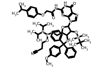 COc1ccc(C(OC2C(COP(OCCC#N)N(C(C)C)C(C)C)OC(n3cnc4c(=O)[nH]c(NC(=O)COc5ccc(C(C)C)cc5)nc43)C2O[Si](C)(C)C(C)(C)C)(c2ccccc2)c2ccccc2)cc1